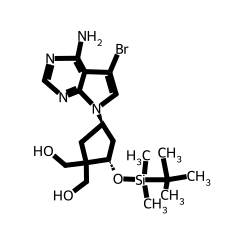 CC(C)(C)[Si](C)(C)O[C@H]1C[C@H](n2cc(Br)c3c(N)ncnc32)CC1(CO)CO